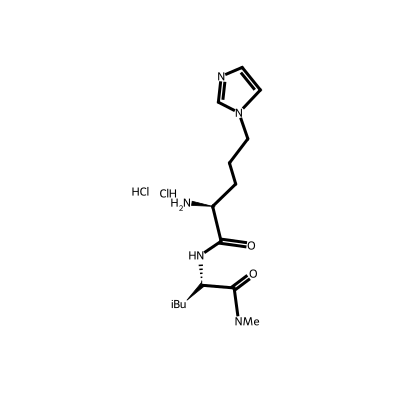 CC[C@H](C)[C@H](NC(=O)[C@@H](N)CCCn1ccnc1)C(=O)NC.Cl.Cl